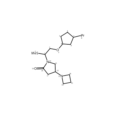 CSC(COC1CCC(C(C)C)C1)N1CC(N2CCC2)CC1=O